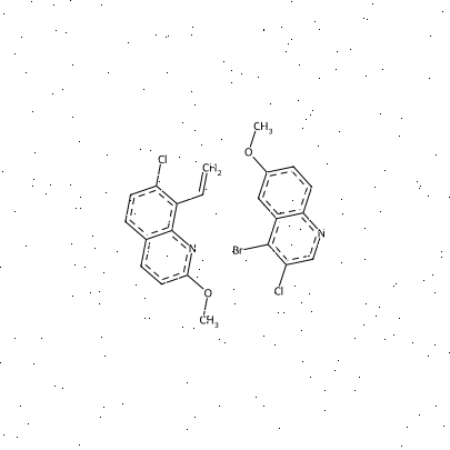 C=Cc1c(Cl)ccc2ccc(OC)nc12.COc1ccc2ncc(Cl)c(Br)c2c1